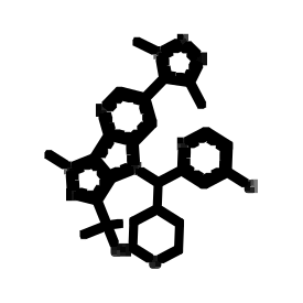 Cc1nnn(C)c1-c1cnc2c3c(c(C(C)(C)O)nn3C)n(C(c3cc(Cl)ccn3)C3CCOCC3)c2c1